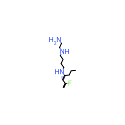 C=C(F)/C=C(\CCC)NCCCCNCCN